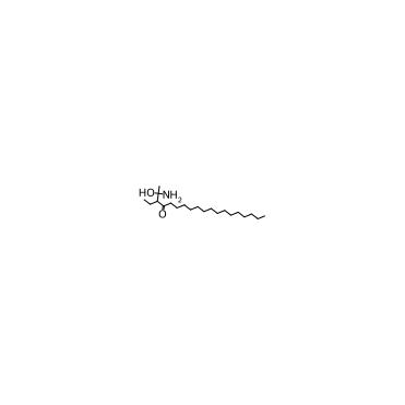 CCCCCCCCCCCCCCCC(=O)C(CC)C(C)(N)O